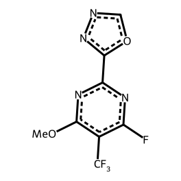 COc1nc(-c2nnco2)nc(F)c1C(F)(F)F